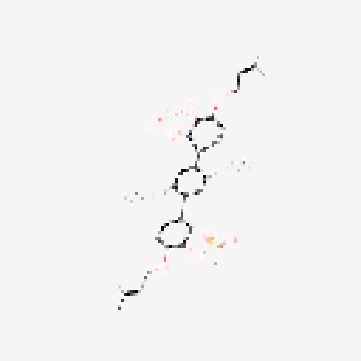 COc1cc(-c2ccc(OCC=C(C)C)c(OS(C)(=O)=O)c2)c(OC)cc1-c1ccc(OCC=C(C)C)c(OS(C)(=O)=O)c1